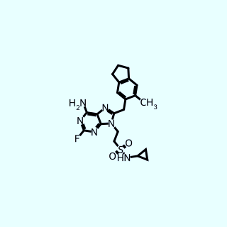 Cc1cc2c(cc1Cc1nc3c(N)nc(F)nc3n1CCS(=O)(=O)NC1CC1)CCC2